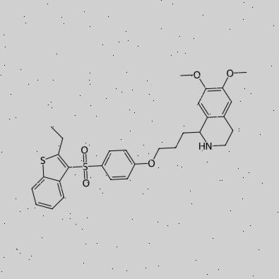 CCc1sc2ccccc2c1S(=O)(=O)c1ccc(OCCCC2NCCc3cc(OC)c(OC)cc32)cc1